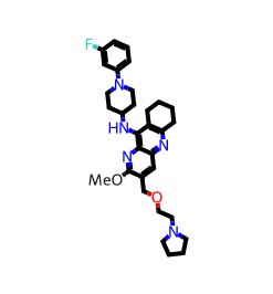 COc1nc2c(NC3CCN(c4cccc(F)c4)CC3)c3c(nc2cc1COCCN1CCCC1)CCCC3